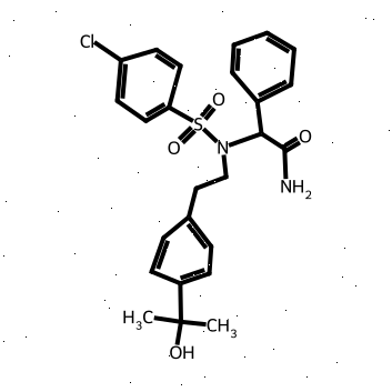 CC(C)(O)c1ccc(CCN(C(C(N)=O)c2ccccc2)S(=O)(=O)c2ccc(Cl)cc2)cc1